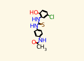 CC(=O)Nc1ccc(NC(=S)Nc2cc(Cl)ccc2O)cc1